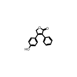 O=C1OCC(c2ccc(O)cc2)=C1c1ccccc1